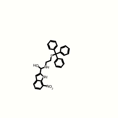 O=[N+]([O-])c1cccc2cc(C(O)NCCSC(c3ccccc3)(c3ccccc3)c3ccccc3)[nH]c12